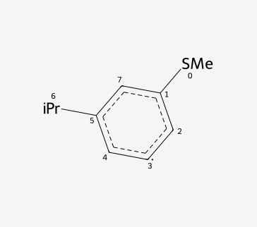 CSc1c[c]cc(C(C)C)c1